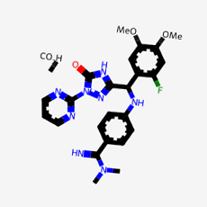 CC(=O)O.COc1cc(F)c(C(Nc2ccc(C(=N)N(C)C)cc2)c2nn(-c3ncccn3)c(=O)[nH]2)cc1OC